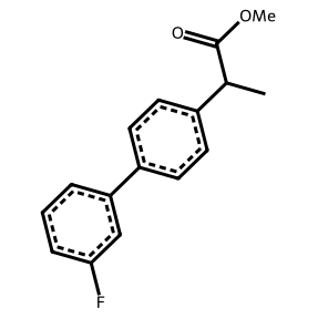 COC(=O)C(C)c1ccc(-c2cccc(F)c2)cc1